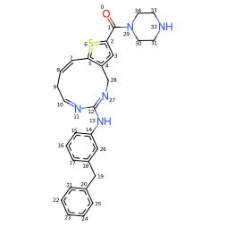 O=C(c1cc2c(s1)/C=C\C/C=N\C(Nc1cccc(Cc3ccccc3)c1)=N/C2)N1CCNCC1